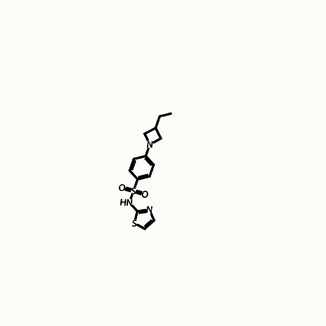 CCC1CN(c2ccc(S(=O)(=O)Nc3nccs3)cc2)C1